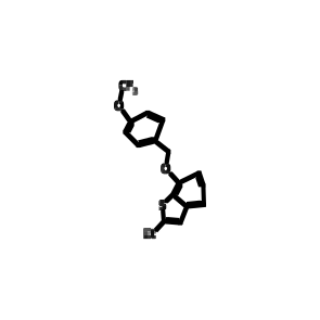 CCc1cc2cccc(OCc3ccc(OC(F)(F)F)cc3)c2s1